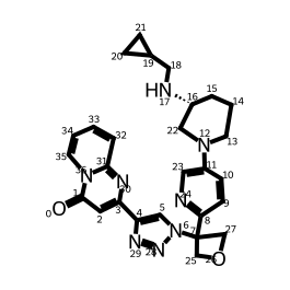 O=c1cc(-c2cn(C3(c4ccc(N5CCC[C@@H](NCC6CC6)C5)cn4)COC3)nn2)nc2ccccn12